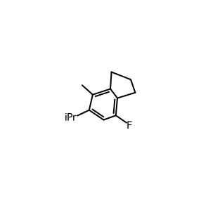 Cc1c(C(C)C)cc(F)c2c1CCC2